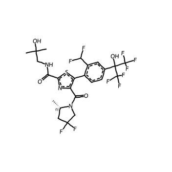 C[C@H]1CC(F)(F)CN1C(=O)c1nc(C(=O)NCC(C)(C)O)sc1-c1ccc(C(O)(C(F)(F)F)C(F)(F)F)cc1C(F)F